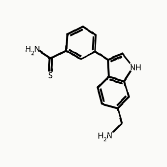 NCc1ccc2c(-c3cccc(C(N)=S)c3)c[nH]c2c1